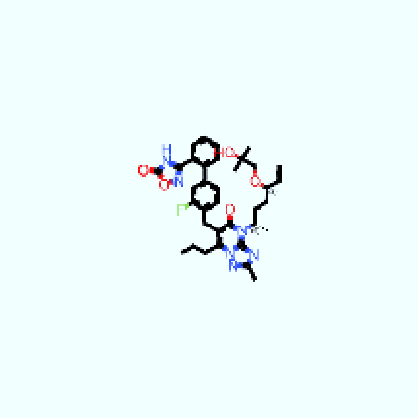 CCCc1c(Cc2ccc(-c3ccccc3-c3noc(=O)[nH]3)cc2F)c(=O)n([C@@H](C)CC[C@H](CC)OCC(C)(C)O)c2nc(C)nn12